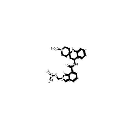 CCOC(=O)N1CCC2(CC1)CC(NC(=O)c1cccc3cn(COP(O)O)nc13)c1ccccc1O2